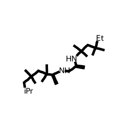 C=C(CNC(=C)C(C)(C)CC(C)(C)CC(C)C)NC(C)(C)CC(C)(C)CC